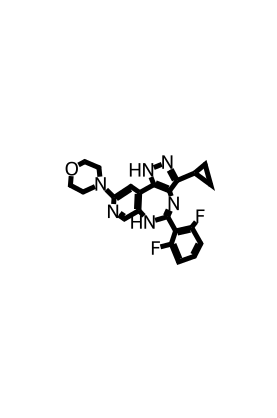 Fc1cccc(F)c1C1=Nc2c(C3CC3)n[nH]c2-c2cc(N3CCOCC3)ncc2N1